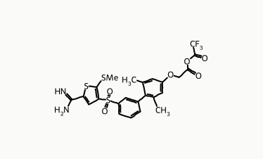 CSc1sc(C(=N)N)cc1S(=O)(=O)c1cccc(-c2c(C)cc(OCC(=O)OC(=O)C(F)(F)F)cc2C)c1